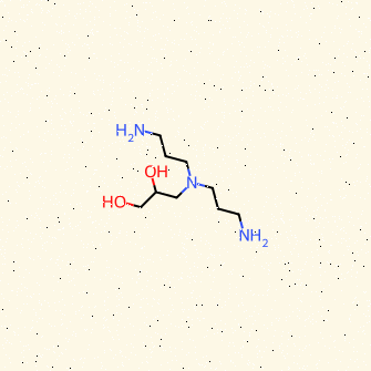 NCCCN(CCCN)CC(O)CO